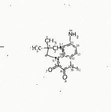 CC(C)(C)Cn1c(=O)c(=O)n(I)c2ccc(N)cc21